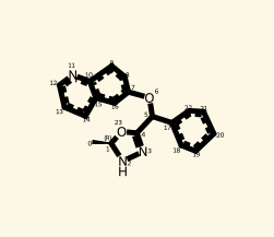 C[C@@H]1NN=C(C(Oc2ccc3ncccc3c2)c2ccccc2)O1